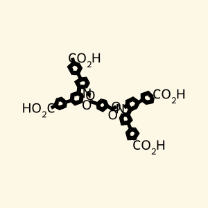 O=C(O)c1ccc(-c2ccc3c(c2)c2cc(-c4ccc(C(=O)O)cc4)ccc2n3OC(=O)c2ccc(C(=O)On3c4ccc(-c5ccc(C(=O)O)cc5)cc4c4cc(-c5ccc(C(=O)O)cc5)ccc43)cc2)cc1